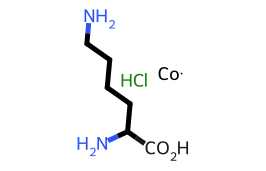 Cl.NCCCCC(N)C(=O)O.[Co]